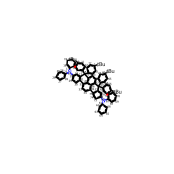 CC(C)(C)c1ccc(C2(c3ccc(C(C)(C)C)cc3)c3cc(N(C4=CCCC=C4)c4ccccc4)ccc3-c3ccc4c5c(ccc2c35)C(c2ccc(C(C)(C)C)cc2)(c2ccc(C(C)(C)C)cc2)c2cc(N(c3ccccc3)c3ccccc3)ccc2-4)cc1